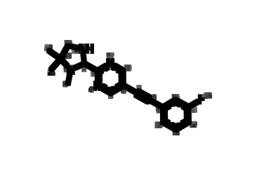 CN1C(c2ncc(C#Cc3cccc(F)c3)cn2)NCC1(C)C